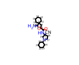 N#CC1(NC(=O)[CH]CC2(C(N)=O)CCCCC2)CCN(C2CCCCC2)C1